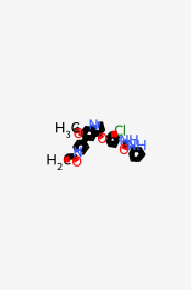 C=CC(=O)N1CCC(c2cc3c(Oc4ccc(NC(=O)NC5CCCCC5)c(Cl)c4)ccnc3cc2OC)CC1